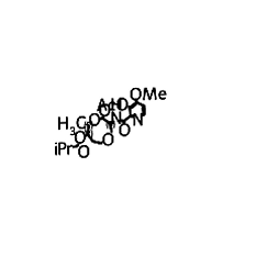 COc1ccnc(C(=O)N[C@H]2COCC[C@@H](OC(=O)C(C)C)[C@H](C)OC2=O)c1OC(C)=O